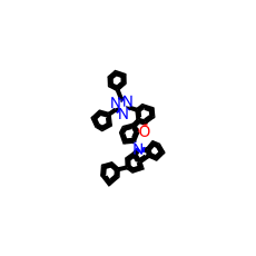 c1ccc(-c2ccc3c4ccccc4n(-c4cccc5c4oc4cccc(-c6nc(-c7ccccc7)nc(-c7ccccc7)n6)c45)c3c2)cc1